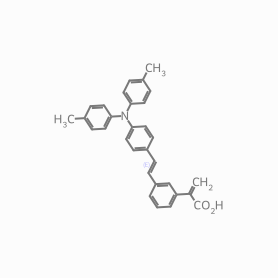 C=C(C(=O)O)c1cccc(/C=C/c2ccc(N(c3ccc(C)cc3)c3ccc(C)cc3)cc2)c1